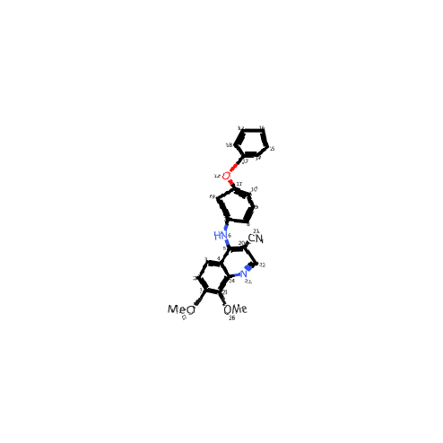 COc1ccc2c(Nc3cccc(Oc4ccccc4)c3)c(C#N)cnc2c1OC